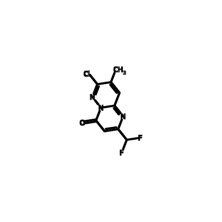 Cc1cc2nc(C(F)F)cc(=O)n2nc1Cl